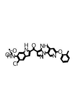 Cc1ccccc1Oc1cc(C)c(-n2ncc(C(=O)c3cc4cc(Cl)c(NS(C)(=O)=O)cc4[nH]3)c2N)cn1